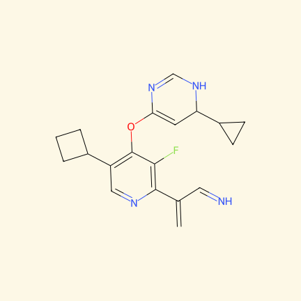 C=C(C=N)c1ncc(C2CCC2)c(OC2=CC(C3CC3)NC=N2)c1F